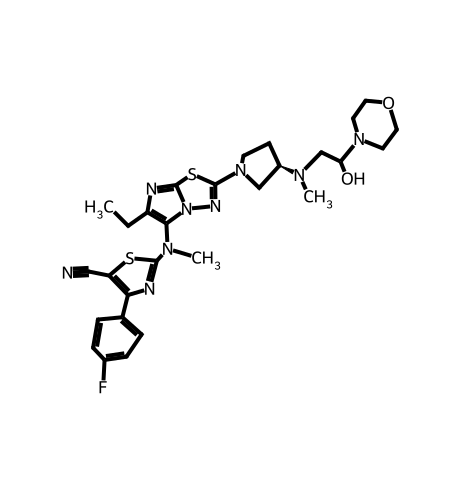 CCc1nc2sc(N3CC[C@@H](N(C)CC(O)N4CCOCC4)C3)nn2c1N(C)c1nc(-c2ccc(F)cc2)c(C#N)s1